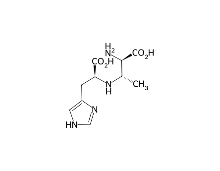 C[C@H](N[C@@H](Cc1c[nH]cn1)C(=O)O)[C@@H](N)C(=O)O